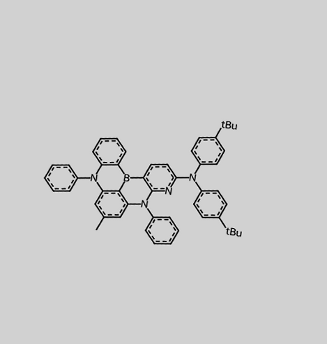 Cc1cc2c3c(c1)N(c1ccccc1)c1nc(N(c4ccc(C(C)(C)C)cc4)c4ccc(C(C)(C)C)cc4)ccc1B3c1ccccc1N2c1ccccc1